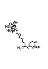 CC(CCCCOCCC(F)(F)C(O)(O)S(=O)(=O)O)CC1CCCC(O)C1